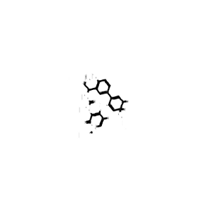 Cc1cn(C)c(=O)c(NC(=O)NC(CC(=O)O)c2cc(C3=CC(Cl)C(N)(Cl)C=C3)ccc2N)c1O